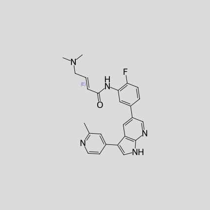 Cc1cc(-c2c[nH]c3ncc(-c4ccc(F)c(NC(=O)/C=C/CN(C)C)c4)cc23)ccn1